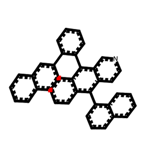 c1ccc(-c2c3ccccc3c(-c3cccc4ccccc34)c3ccncc23)c(-c2ccc3ccccc3c2)c1